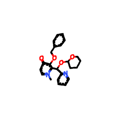 Cn1ccc(=O)c(OCc2ccccc2)c1C(OC1CCCCO1)c1ccccn1